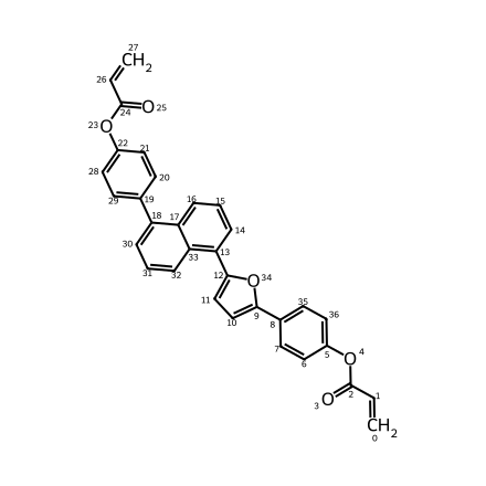 C=CC(=O)Oc1ccc(-c2ccc(-c3cccc4c(-c5ccc(OC(=O)C=C)cc5)cccc34)o2)cc1